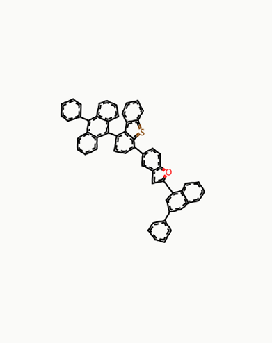 c1ccc(-c2cc(-c3cc4cc(-c5ccc(-c6c7ccccc7c(-c7ccccc7)c7ccccc67)c6c5sc5ccccc56)ccc4o3)c3ccccc3c2)cc1